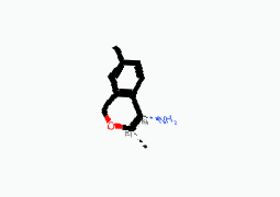 Cc1ccc2c(c1)CO[C@@H](C)[C@H]2N